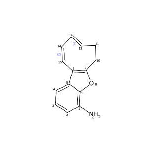 Nc1cccc2c3c(oc12)CC/C=C/C=C\3